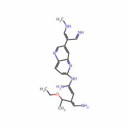 CCOC(C)C(/C=C(\N)Nc1ccc2ncc(/C(C=N)=C/NC)cc2n1)=C/N